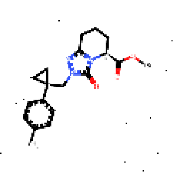 Cc1ccc(C2(Cn3nc4n(c3=O)[C@H](C(=O)OC(C)(C)C)CCC4)CC2)cc1